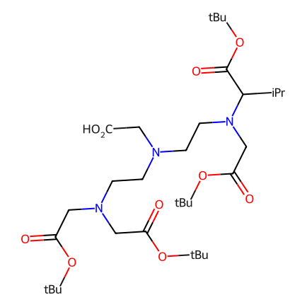 CC(C)C(C(=O)OC(C)(C)C)N(CCN(CCN(CC(=O)OC(C)(C)C)CC(=O)OC(C)(C)C)CC(=O)O)CC(=O)OC(C)(C)C